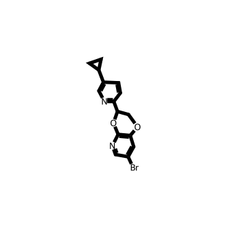 Brc1cnc2c(c1)OCC(c1ccc(C3CC3)cn1)O2